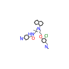 C=NCc1ccc(OCCCN(CC(C)(C)CNC(=O)c2ccc(N=C)cc2)c2cccc3ccccc23)c(Cl)c1